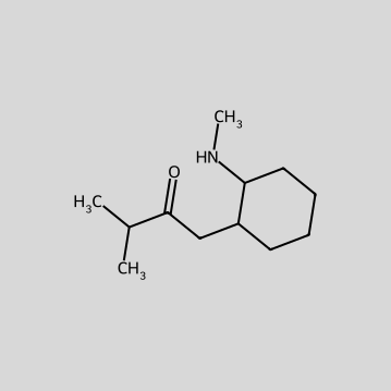 CNC1CCCCC1CC(=O)C(C)C